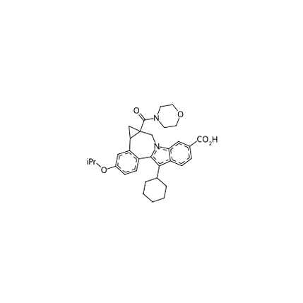 CC(C)Oc1ccc2c(c1)C1CC1(C(=O)N1CCOCC1)Cn1c-2c(C2CCCCC2)c2ccc(C(=O)O)cc21